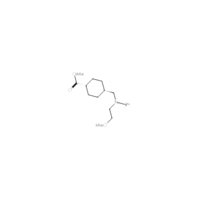 COCCN(C[C@H]1CC[C@H](C(=O)OC)CC1)C(C)C